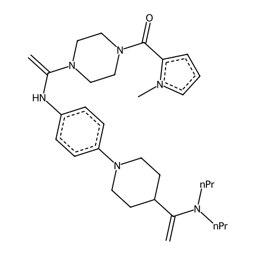 C=C(Nc1ccc(N2CCC(C(=C)N(CCC)CCC)CC2)cc1)N1CCN(C(=O)c2cccn2C)CC1